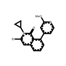 CCc1cc2cccc(-c3ccnc(OC)c3)c2c(=O)n1C1CC1